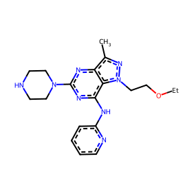 CCOCCn1nc(C)c2nc(N3CCNCC3)nc(Nc3ccccn3)c21